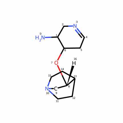 NC1CN=CCC1O[C@H]1CN2CCC1CC2